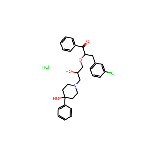 Cl.O=C(c1ccccc1)C(Cc1cccc(Cl)c1)OCC(O)CN1CCC(O)(c2ccccc2)CC1